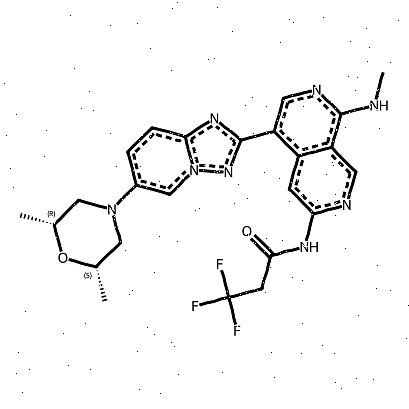 CNc1ncc(-c2nc3ccc(N4C[C@@H](C)O[C@@H](C)C4)cn3n2)c2cc(NC(=O)CC(F)(F)F)ncc12